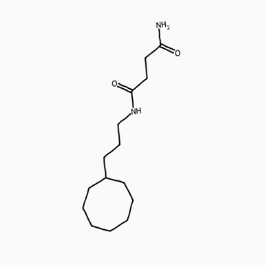 NC(=O)CCC(=O)NCCCC1CCCCCCC1